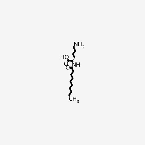 CCCCCCCCCC(=O)N[C@@H](CCCCN)C(=O)O